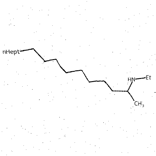 CCCCCCCCCCCCCCCC(C)NCC